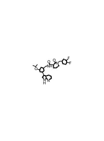 CC(C)Oc1cc(CNC(=O)c2cccn(Cc3ccc(F)c(F)c3)c2=O)cc(-c2c[nH]c3ncccc23)c1